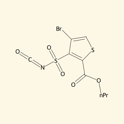 CCCOC(=O)c1scc(Br)c1S(=O)(=O)N=C=O